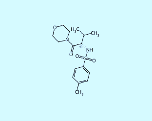 Cc1ccc(S(=O)(=O)N[C@H](C(=O)N2CCOCC2)C(C)C)cc1